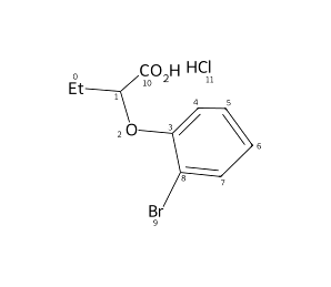 CCC(Oc1ccccc1Br)C(=O)O.Cl